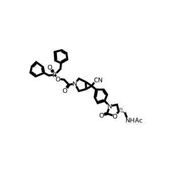 CC(=O)NC[C@H]1CN(c2ccc(C3(C#N)C4CN(C(=O)COP(=O)(Cc5ccccc5)Cc5ccccc5)CC43)cc2)C(=O)O1